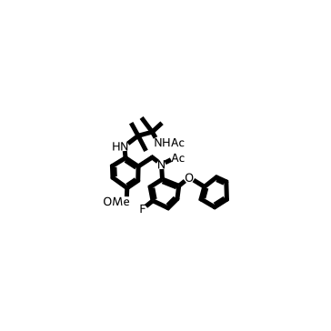 COc1ccc(NC(C)(C)C(C)(C)NC(C)=O)c(CN(C(C)=O)c2cc(F)ccc2Oc2ccccc2)c1